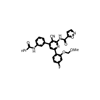 C[CH]CC(=O)Nc1cccc(-c2cc(-c3ccc(F)cc3OCOC)nc(NC(=O)c3ccno3)c2C#N)c1